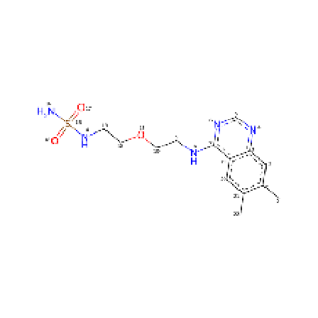 Cc1cc2ncnc(NCCOCCNS(N)(=O)=O)c2cc1C